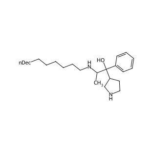 CCCCCCCCCCCCCCCCNC(C)C(O)(c1ccccc1)C1CCNC1